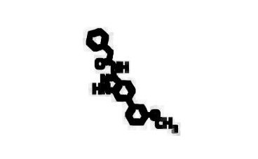 COc1cccc(-c2ccc3c(NC(=O)Cc4ccccc4)n[nH]c3c2)c1